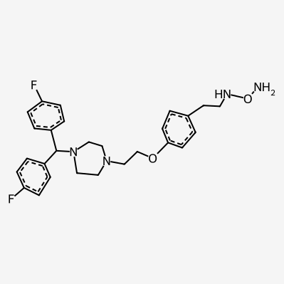 NONCCc1ccc(OCCN2CCN(C(c3ccc(F)cc3)c3ccc(F)cc3)CC2)cc1